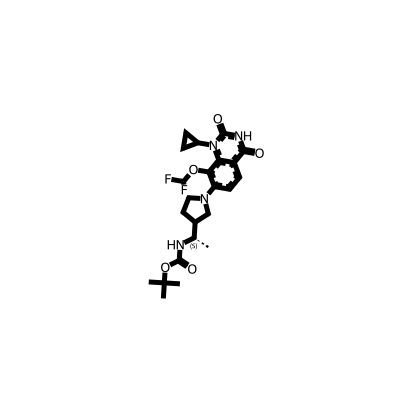 C[C@H](NC(=O)OC(C)(C)C)C1CCN(c2ccc3c(=O)[nH]c(=O)n(C4CC4)c3c2OC(F)F)C1